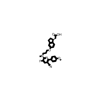 COc1ccc(-c2nc(N(C)CCCOc3ccc4c(c3)CC[C@H]4CC(=O)O)c(F)cc2C#N)cc1